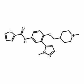 CN1CCC(COc2ccc(NC(=O)c3cccs3)cc2-c2ccnn2C)CC1